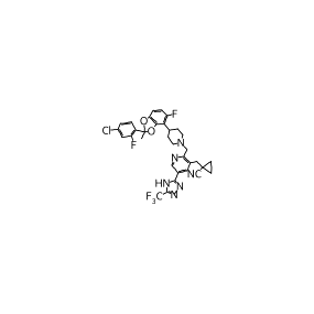 CC1(c2ccc(Cl)cc2F)Oc2ccc(F)c(C3CCN(Cc4ncc(-c5nnc(C(F)(F)F)[nH]5)cc4CC4(C#N)CC4)CC3)c2O1